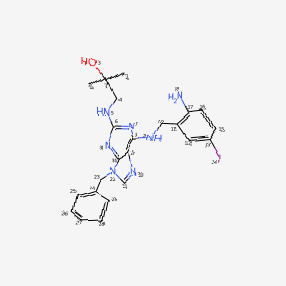 CC(C)(O)CNc1nc(NCc2cc(I)ccc2N)c2ncn(Cc3ccccc3)c2n1